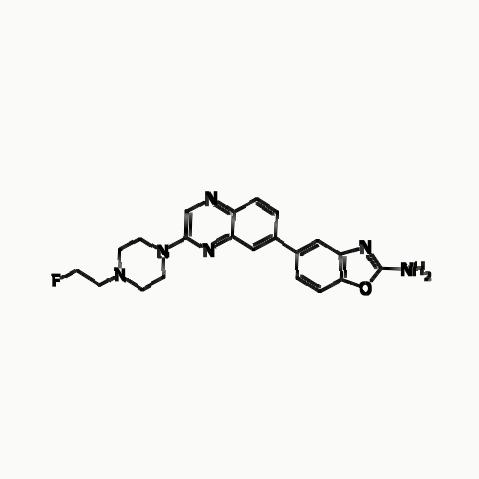 Nc1nc2cc(-c3ccc4ncc(N5CCN(CCF)CC5)nc4c3)ccc2o1